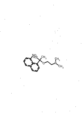 CN(C)CCOC(C)(O)c1cccc2cccc([N+](=O)[O-])c12